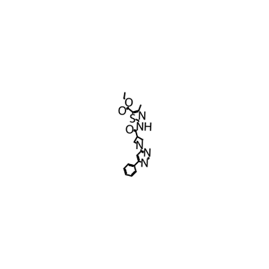 CCOC(=O)c1sc(NC(=O)C2CN(c3cc(-c4ccccc4)ncn3)C2)nc1C